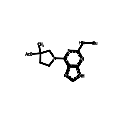 CC(=O)OC1(C)CCN(c2nc(NC(C)(C)C)nc3[nH]cnc23)C1